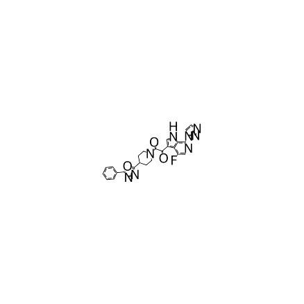 O=C(C(=O)N1CCC(c2nnc(-c3ccccc3)o2)CC1)c1c[nH]c2c(-n3ccnn3)ncc(F)c12